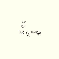 O.[BaH2].[CaH2].[Cu].[Gd].[La]